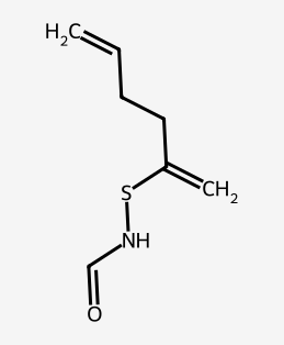 C=CCCC(=C)SNC=O